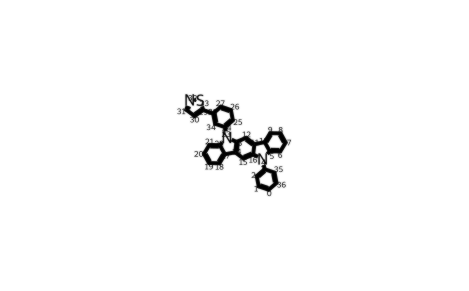 c1ccc(-n2c3ccccc3c3cc4c(cc32)c2ccccc2n4-c2cccc(-c3ccns3)c2)cc1